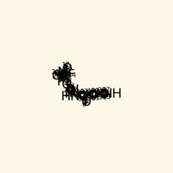 COc1cc(Nc2ncc(OCc3c(F)c(OC)nc(OC)c3F)cn2)ccc1N1CCC(N2CCNCC2)CC1